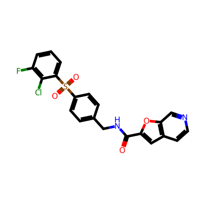 O=C(NCc1ccc(S(=O)(=O)c2cccc(F)c2Cl)cc1)c1cc2ccncc2o1